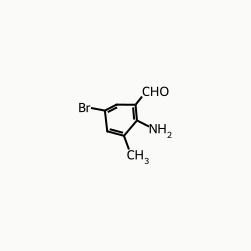 Cc1cc(Br)cc(C=O)c1N